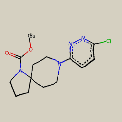 CC(C)(C)OC(=O)N1CCCC12CCN(c1ccc(Cl)nn1)CC2